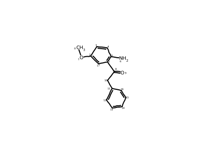 COc1ccc(N)c(C(=O)Cc2ccccc2)c1